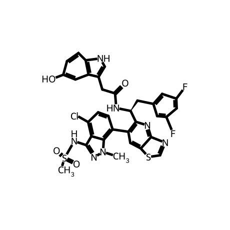 Cn1nc(NS(C)(=O)=O)c2c(Cl)ccc(-c3cc4scnc4nc3[C@H](Cc3cc(F)cc(F)c3)NC(=O)Cc3c[nH]c4ccc(O)cc34)c21